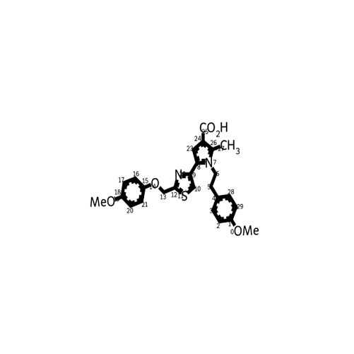 COc1ccc(CCn2c(-c3csc(COc4ccc(OC)cc4)n3)cc(C(=O)O)c2C)cc1